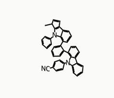 CC1C=Cc2c1n(-c1ccccc1)c1c(-c3ccccc3-c3cccc4c5ccccc5n(-c5ccc(C#N)cc5)c34)cccc21